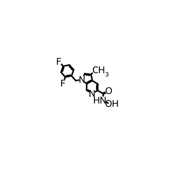 Cc1cn(Cc2ccc(F)cc2F)c2cnc(C(=O)NO)cc12